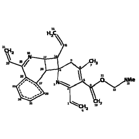 C=CC1=NC2(CC(C)=C1C(=C)OCNC)C(C=C)C1N=C(C=C)c3ccccc3C12